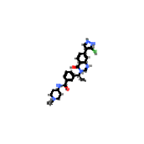 C[C@H](c1cccc(C(=O)NC2CCN(C)CC2)c1)n1cnc2cc(-c3cn[nH]c3Cl)ccc2c1=O